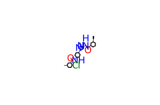 C#Cc1cccc(C(=O)Nc2cc(-c3ccc(NC(=O)c4cc(C)ccc4Cl)cc3)nn2C)c1